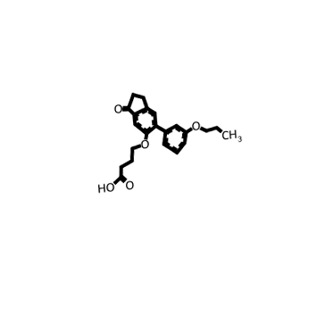 CCCOc1cccc(-c2cc3c(cc2OCCCC(=O)O)C(=O)CC3)c1